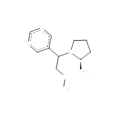 CO[C@@H]1CCCN1C(COC=O)c1cncnc1